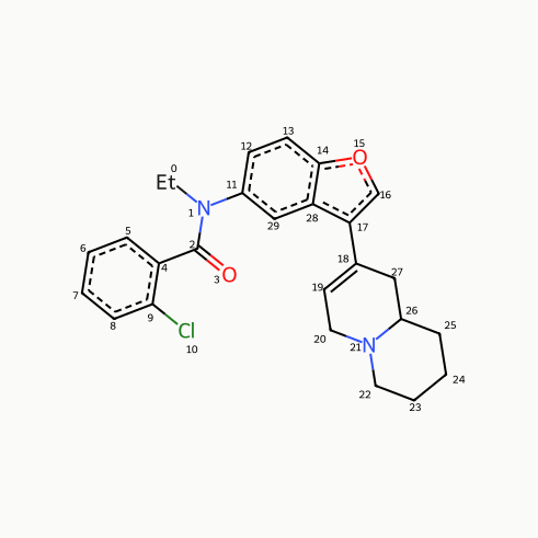 CCN(C(=O)c1ccccc1Cl)c1ccc2occ(C3=CCN4CCCCC4C3)c2c1